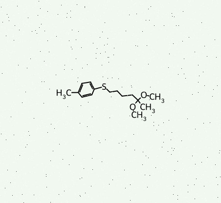 COC(C)(CCCCSc1ccc(C)cc1)OC